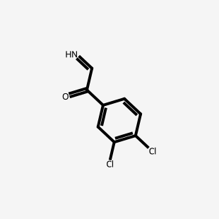 N=CC(=O)c1ccc(Cl)c(Cl)c1